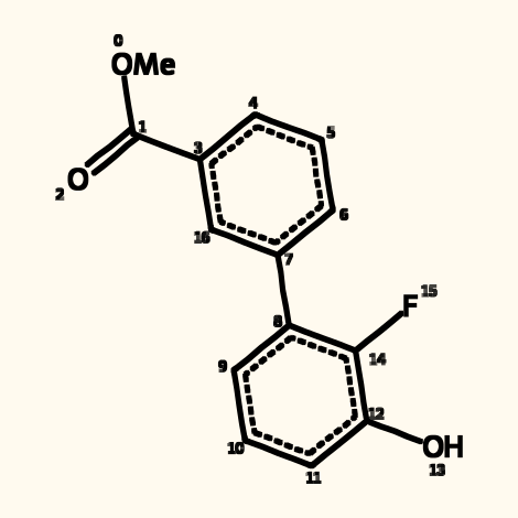 COC(=O)c1cccc(-c2cccc(O)c2F)c1